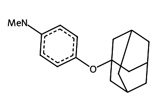 CNc1ccc(OC23CC4CC(CC(C4)C2)C3)cc1